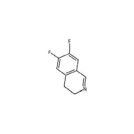 Fc1cc2c(cc1F)CCN=C2